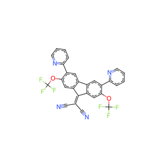 N#CC(C#N)=C1c2cc(OC(F)(F)F)c(-c3ccccn3)cc2-c2cc(-c3ccccn3)c(OC(F)(F)F)cc21